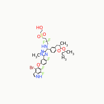 CC(C)OC(=O)[C@H](C)Cc1cccc(C(NCC(F)(F)CCS(=O)(=O)CCO)c2nc(-c3cc(Oc4c(F)c(F)c5[nH]ccc5c4Br)ccc3F)n(C)n2)c1